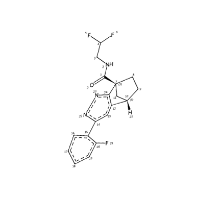 O=C(NCC(F)F)[C@@]12CC[C@@H](C1)c1cc(-c3ccccc3F)nnc12